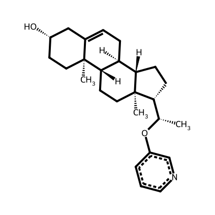 C[C@H](Oc1cccnc1)[C@H]1CC[C@H]2[C@@H]3CC=C4C[C@@H](O)CC[C@]4(C)[C@H]3CC[C@]12C